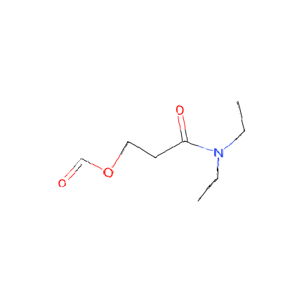 CCN(CC)C(=O)CCOC=O